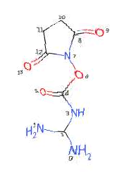 NC(N)NC(=O)ON1C(=O)CCC1=O